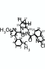 Cc1cccc(-c2sc(C)nc2C(=O)N2C[C@@H]3C[C@@H]3[C@H]2CNC(=O)c2cccc3sc(Cl)nc23)c1